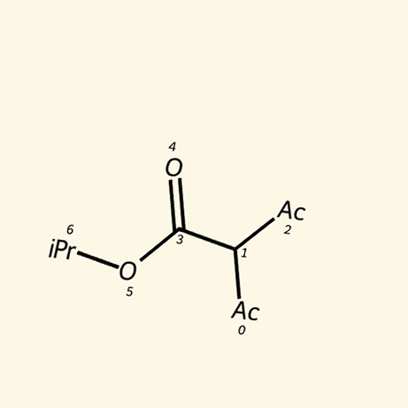 CC(=O)C(C(C)=O)C(=O)OC(C)C